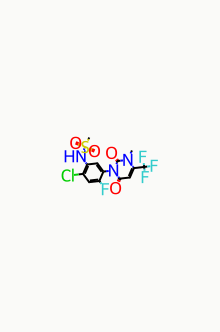 Cn1c(C(F)(F)F)cc(=O)n(-c2cc(NS(C)(=O)=O)c(Cl)cc2F)c1=O